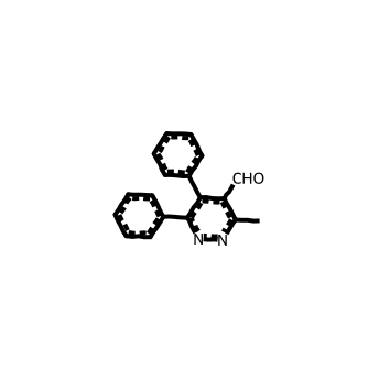 Cc1nnc(-c2ccccc2)c(-c2ccccc2)c1C=O